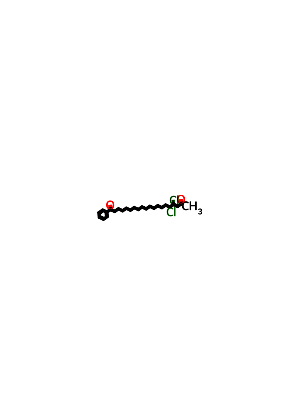 CC(=O)CC(Cl)C(Cl)CCCCCCCCCCCCCCC(=O)c1ccccc1